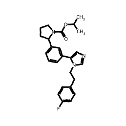 CC(C)OC(=O)N1CCCC1c1cccc(-c2cncn2CCc2ccc(F)cc2)c1